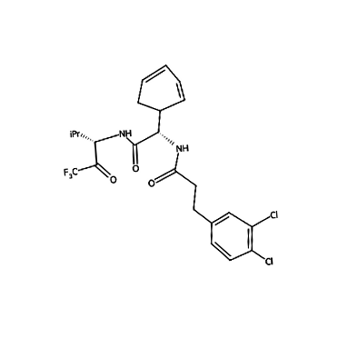 CC(C)[C@H](NC(=O)[C@@H](NC(=O)CCc1ccc(Cl)c(Cl)c1)C1C=CC=CC1)C(=O)C(F)(F)F